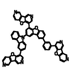 c1cc(-c2ccc3oc4c(-c5cncc6c5oc5ccncc56)cc(-n5c6ccccc6c6cc(-c7cncc8c7oc7ccncc78)ccc65)cc4c3c2)cc(-c2cncc3c2oc2ccncc23)c1